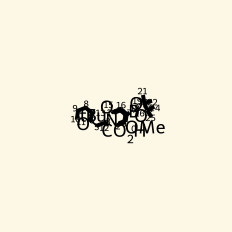 COc1cn(C(C[C@@H]2CCCCO2)(C(=O)O)C(C)(C)C)c(=O)cc1B1OC(C)(C)C(C)(C)O1